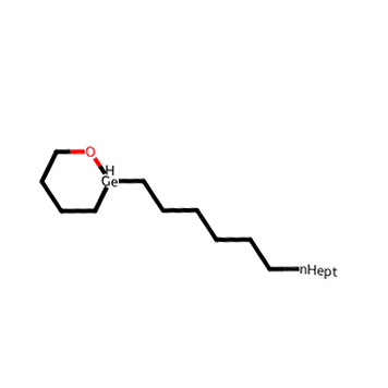 CCCCCCCCCCCC[CH2][GeH]1[CH2]CCC[O]1